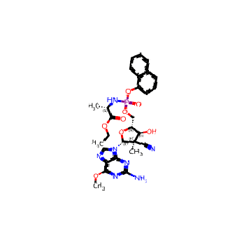 CCOC(=O)[C@H](C)NP(=O)(OC[C@H]1O[C@@H](n2cnc3c(OC)nc(N)nc32)[C@](C)(C#N)[C@@H]1O)Oc1cccc2ccccc12